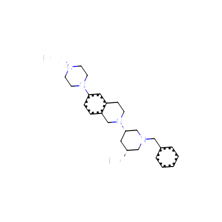 C[C@H]1C[C@@H](N2CCc3cc(N4CCN(C(=O)O)CC4)ccc3C2)CN(Cc2ccccc2)C1